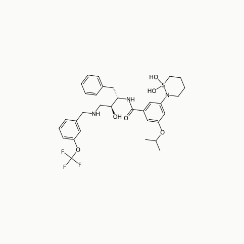 CC(C)Oc1cc(C(=O)N[C@@H](Cc2ccccc2)[C@@H](O)CNCc2cccc(OC(F)(F)F)c2)cc(N2CCCCS2(O)O)c1